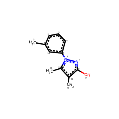 Cc1cccc(-n2nc(O)c(C)c2C)c1